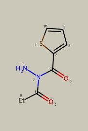 CCC(=O)N(N)C(=O)c1cccs1